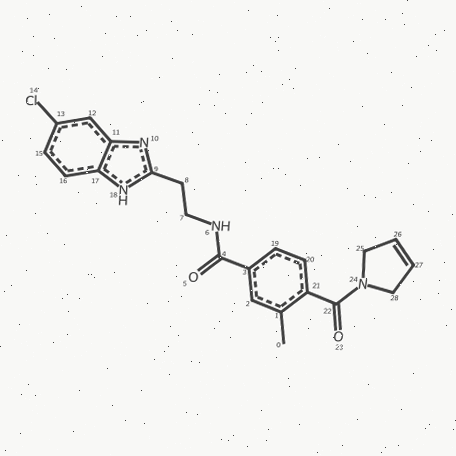 Cc1cc(C(=O)NCCc2nc3cc(Cl)ccc3[nH]2)ccc1C(=O)N1CC=CC1